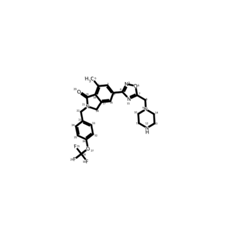 Cc1cc(-c2noc(CN3CCNCC3)n2)cc2c1C(=O)N(Cc1ccc(OC(F)(F)F)cc1)C2